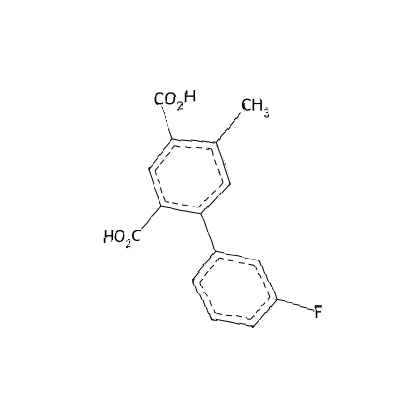 Cc1cc(-c2cccc(F)c2)c(C(=O)O)cc1C(=O)O